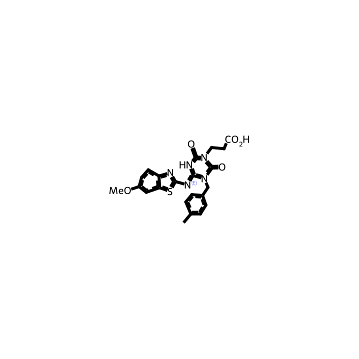 COc1ccc2nc(/N=c3\[nH]c(=O)n(CCC(=O)O)c(=O)n3Cc3ccc(C)cc3)sc2c1